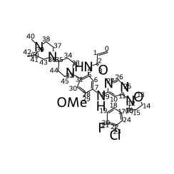 C=CC(=O)Nc1cc(Nc2cc(N3OCC[C@@H]3c3ccc(F)c(Cl)c3)ncn2)c(OC)cc1N1CCC(N2CCN(C)[C@H](C)C2)CC1